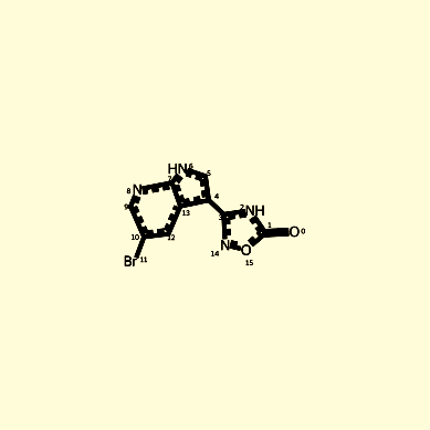 O=c1[nH]c(-c2c[nH]c3ncc(Br)cc23)no1